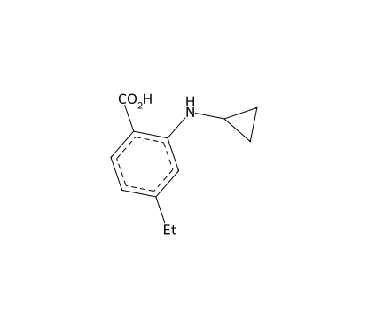 CCc1ccc(C(=O)O)c(NC2CC2)c1